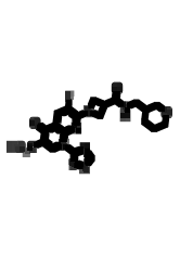 O=C(O)c1cn(-c2ncns2)c2nc(N3CC(C(=O)NCC4CCCOC4)C3)c(F)cc2c1=O